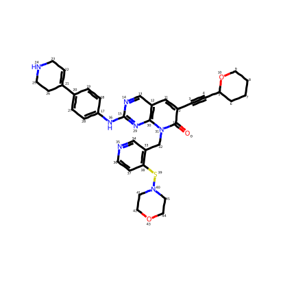 O=c1c(C#CC2CCCCO2)cc2cnc(Nc3ccc(C4=CCNCC4)cc3)nc2n1Cc1cnccc1SN1CCOCC1